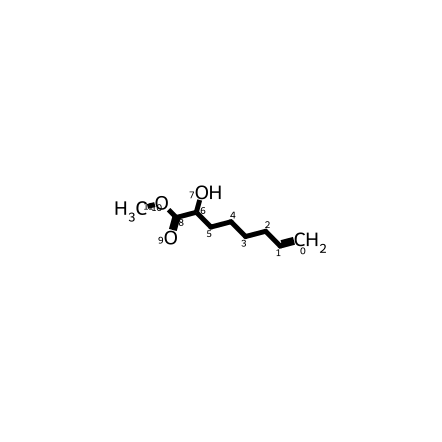 C=CCCCCC(O)C(=O)OC